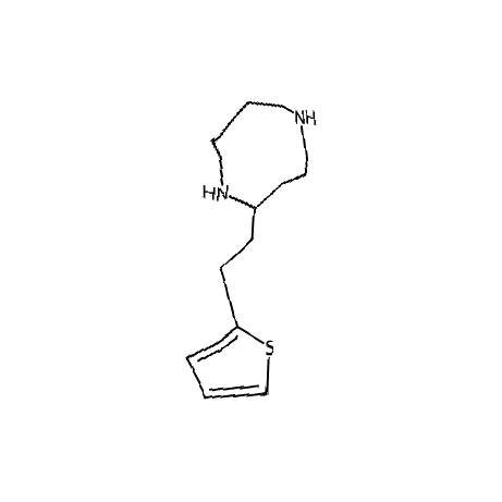 c1csc(CCC2CNCCN2)c1